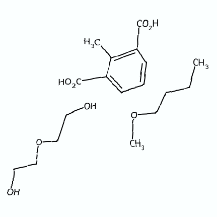 CCCCOC.Cc1c(C(=O)O)cccc1C(=O)O.OCCOCCO